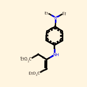 CCOC(=O)C=C(CC(=O)OCC)Nc1ccc(N(CC)CC)cc1